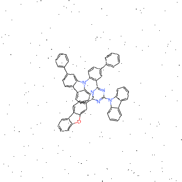 c1ccc(-c2ccc(-n3c4ccccc4c4ccc(-c5ccccc5)cc43)c(-c3nc(-c4ccc5c(c4)oc4ccccc45)nc(-n4c5ccccc5c5ccccc54)n3)c2)cc1